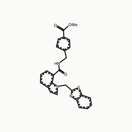 COC(=O)c1ccc(CNC(=O)c2cccc3ccn(Cc4nc5ccccc5s4)c23)cc1